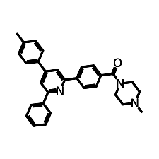 Cc1ccc(-c2cc(-c3ccccc3)nc(-c3ccc(C(=O)N4CCN(C)CC4)cc3)c2)cc1